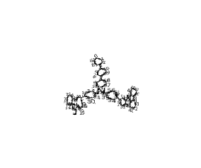 c1ccc(-c2ccc(-c3ccc(N(c4ccc(-c5ccc6sc7ccccc7c6c5)cc4)c4ccc(-c5ccc6c7cccc8c9ccccc9n(c6c5)c87)cc4)cc3)cc2)cc1